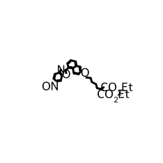 CCOC(=O)C(CCCCCOc1ccc2c(-c3nc4ccc(N=O)cc4o3)cccc2c1)C(=O)OCC